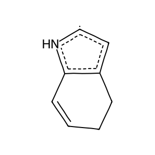 [c]1cc2c([nH]1)C=CCC2